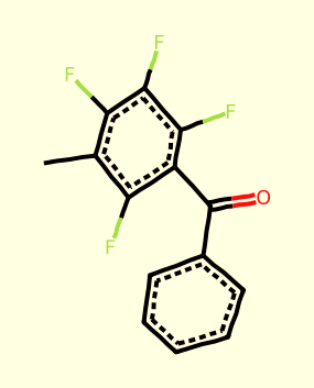 Cc1c(F)c(F)c(F)c(C(=O)c2ccccc2)c1F